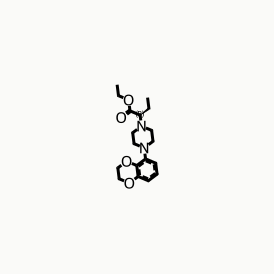 CCOC(=O)[C@@H](CC)N1CCN(c2cccc3c2OCCO3)CC1